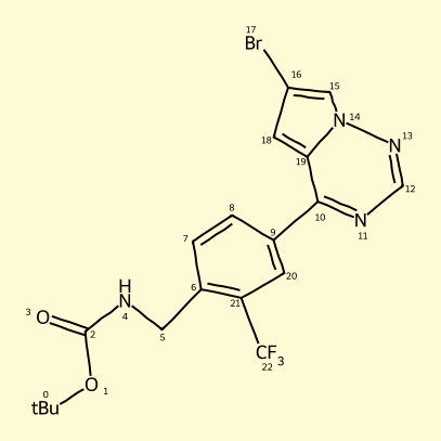 CC(C)(C)OC(=O)NCc1ccc(-c2ncnn3cc(Br)cc23)cc1C(F)(F)F